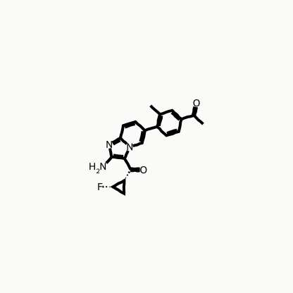 CC(=O)c1ccc(-c2ccc3nc(N)c(C(=O)[C@@H]4C[C@@H]4F)n3c2)c(C)c1